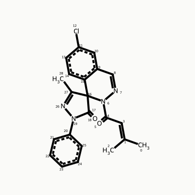 CC(C)=CC(=O)N1N=Cc2cc(Cl)ccc2C12C(=O)N(c1ccccc1)N=C2C